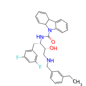 CCc1cccc(CNC[C@@H](O)[C@H](Cc2cc(F)cc(F)c2)NC(=O)N2c3ccccc3C3C=CC=CC32)c1